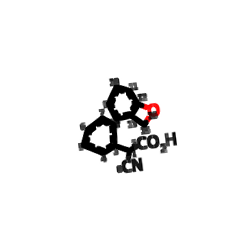 N#CC(C(=O)O)c1ccccc1.c1ccc2c(c1)CO2